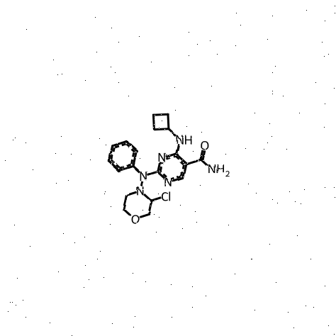 NC(=O)c1cnc(N(c2ccccc2)N2CCOCC2Cl)nc1NC1CCC1